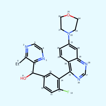 CCc1nccnc1C(O)c1ccc(F)c(-c2ncnc3cc(N4CCOCC4)ccc23)c1